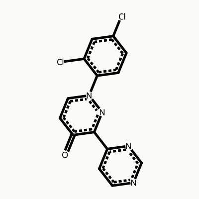 O=c1ccn(-c2ccc(Cl)cc2Cl)nc1-c1ccncn1